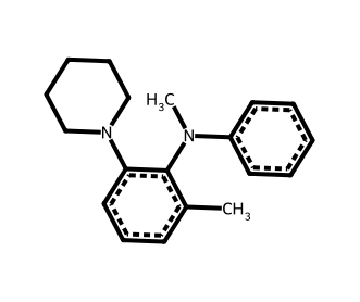 Cc1cccc(N2CCCCC2)c1N(C)c1ccccc1